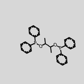 CC(OP(c1ccccc1)c1ccccc1)C(C)OP(c1ccccc1)c1ccccc1